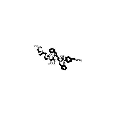 CC[C@@H](C)[C@H](C(=O)N[C@@H](Cc1ccccc1)[C@@H](O)CN(CC1CCCC1)S(=O)(=O)c1ccc(C=NO)cc1)N1CCN(Cc2csc(CNC(C)C)n2)C1=O